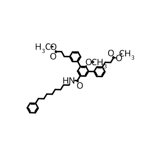 COC(=O)CCc1cccc(-c2cc(C(=O)NCCCCCCCCc3ccccc3)cc(-c3cccc(CCC(=O)OC)c3)c2OC)c1